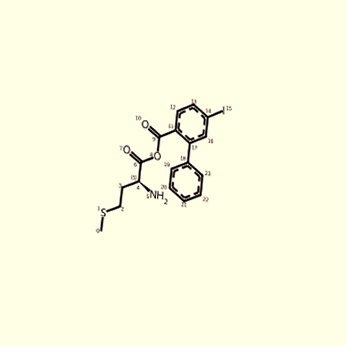 CSCC[C@H](N)C(=O)OC(=O)c1ccc(I)cc1-c1ccccc1